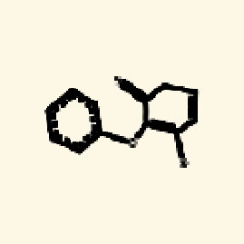 [S]C1=C(Oc2ccccc2)C(=S)CC=C1